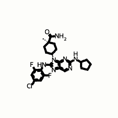 C[C@]1(C(N)=O)CC[C@H](n2c(Nc3c(F)cc(Cl)cc3F)nc3cnc(NC4CCCC4)nc32)CC1